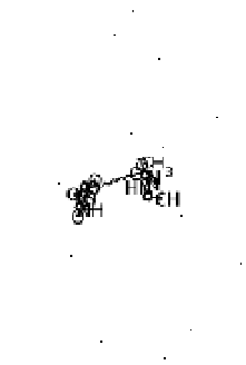 C#Cc1cccc(Nc2ncnc3cc(OC)c(OCCCCCCCCCC(=O)Oc4cccc5c4C(=O)N(C4CCC(=O)NC4=O)C5=O)cc23)c1